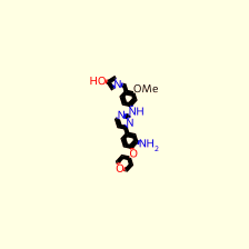 COc1cc(Nc2nccc(-c3ccc(OC4CCOCC4)c(N)c3)n2)ccc1CN1CC(O)C1